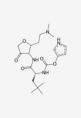 CN(C)CCC1OCC(=O)C1NC(=O)[C@H](CC(C)(C)C)NC(=O)Oc1cc[nH]c1